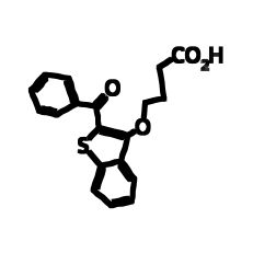 O=C(O)CCCOc1c(C(=O)c2ccccc2)sc2ccccc12